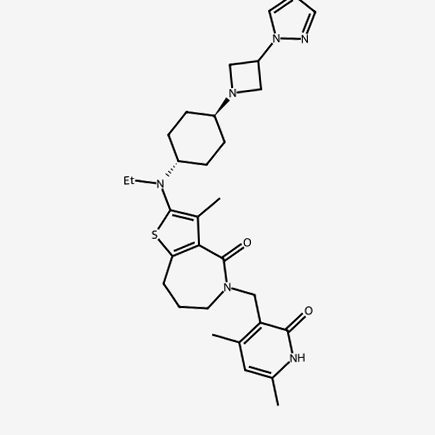 CCN(c1sc2c(c1C)C(=O)N(Cc1c(C)cc(C)[nH]c1=O)CCC2)[C@H]1CC[C@H](N2CC(n3cccn3)C2)CC1